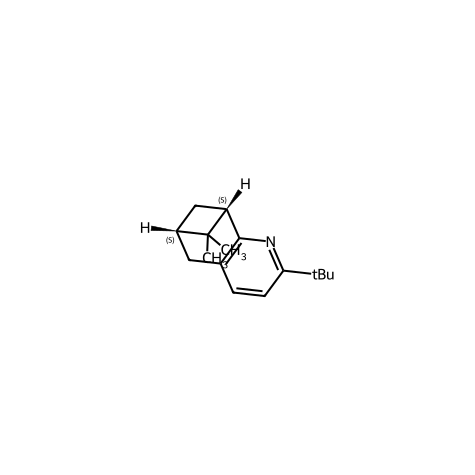 CC(C)(C)c1ccc2c(n1)[C@H]1C[C@@H](C2)C1(C)C